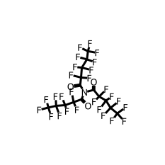 O=C(N(C(=O)C(F)(F)C(F)(F)C(F)(F)C(F)(F)F)C(=O)C(F)(F)C(F)(F)C(F)(F)C(F)(F)F)C(F)(F)C(F)(F)C(F)(F)C(F)(F)F